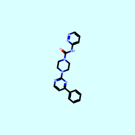 O=C(Nc1cccnn1)N1CCN(c2nccc(-c3ccccc3)n2)CC1